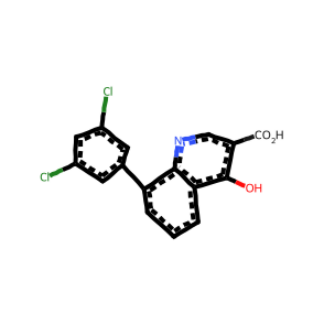 O=C(O)c1cnc2c(-c3cc(Cl)cc(Cl)c3)cccc2c1O